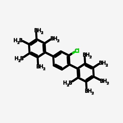 Bc1c(B)c(B)c(-c2ccc(-c3c(B)c(B)c(B)c(B)c3B)c(Cl)c2)c(B)c1B